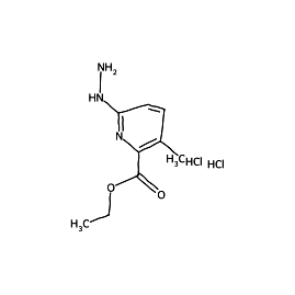 CCOC(=O)c1nc(NN)ccc1C.Cl.Cl